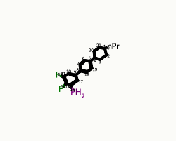 CCCC1CCC(c2ccc(-c3cc(F)c(F)c(P)c3)cc2)CC1